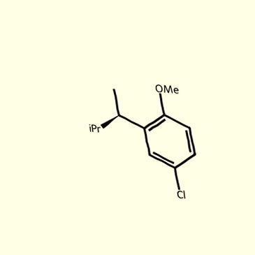 COc1ccc(Cl)cc1[C@H](C)C(C)C